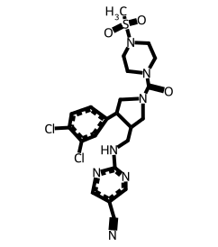 CS(=O)(=O)N1CCN(C(=O)N2CC(CNc3ncc(C#N)cn3)C(c3ccc(Cl)c(Cl)c3)C2)CC1